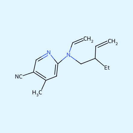 C=CC(CC)CN(C=C)c1cc(C)c(C#N)cn1